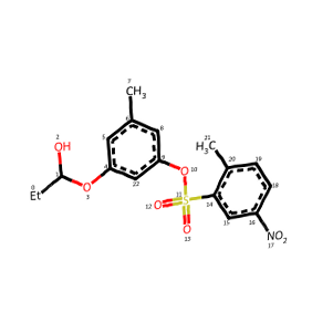 CCC(O)Oc1cc(C)cc(OS(=O)(=O)c2cc([N+](=O)[O-])ccc2C)c1